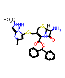 CC1=NC2=CN(C(=O)O)NN2C(SCC2=C(C(=O)OC(c3ccccc3)c3ccccc3)N3C(=O)C(N)[C@H]3SC2)=C1